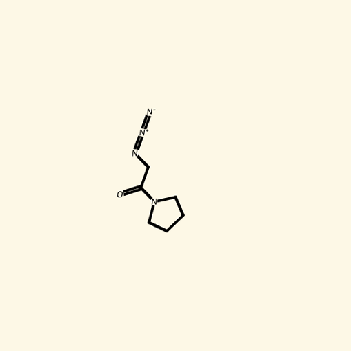 [N-]=[N+]=NCC(=O)N1CCCC1